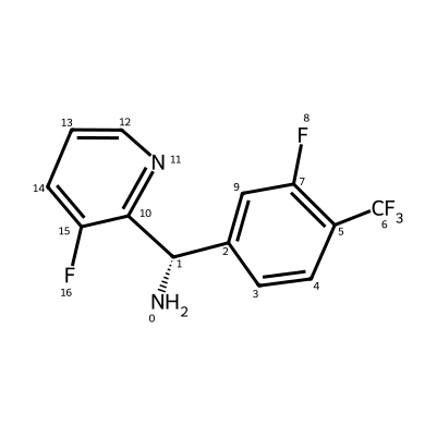 N[C@@H](c1ccc(C(F)(F)F)c(F)c1)c1ncccc1F